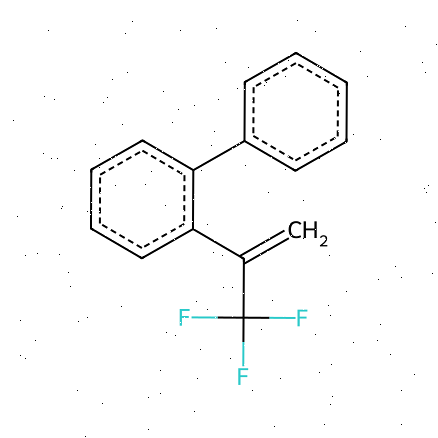 C=C(c1ccccc1-c1ccccc1)C(F)(F)F